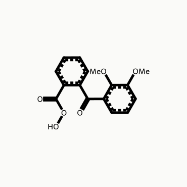 COc1cccc(C(=O)c2ccccc2C(=O)OO)c1OC